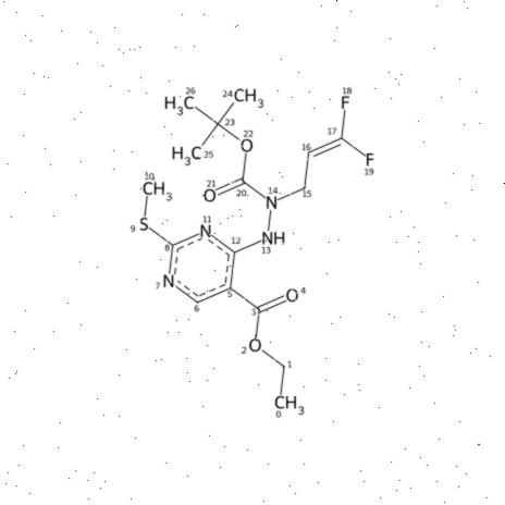 CCOC(=O)c1cnc(SC)nc1NN(CC=C(F)F)C(=O)OC(C)(C)C